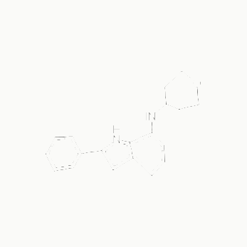 c1ccc(-c2cc3cccc(NC4CCOCC4)c3[nH]2)cc1